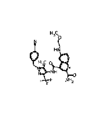 COCCNc1ccc2nc(C(N)=O)cc(C(=O)Nc3c(C(F)(F)F)nn(Cc4ccc(C#N)cc4)c3C)c2c1